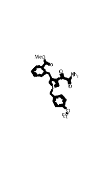 CCOc1ccc(Cn2cc(Cc3ccccc3C(=O)OC)c(C(=O)C(N)=O)c2)cc1